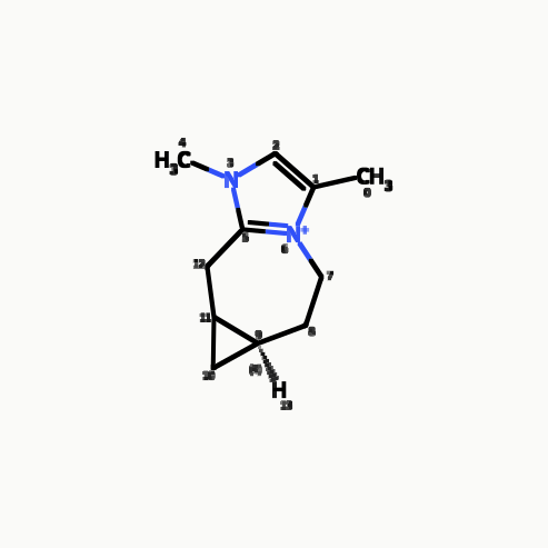 Cc1cn(C)c2[n+]1CC[C@H]1CC1C2